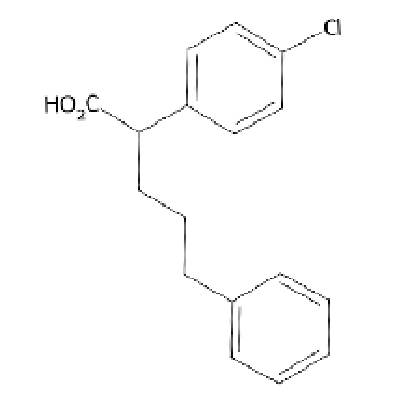 O=C(O)C(CCCc1ccccc1)c1ccc(Cl)cc1